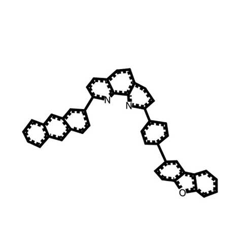 c1ccc2cc3cc(-c4ccc5ccc6ccc(-c7ccc(-c8ccc9oc%10ccccc%10c9c8)cc7)nc6c5n4)ccc3cc2c1